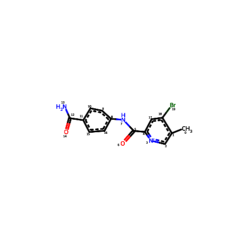 Cc1cnc(C(=O)Nc2ccc(C(N)=O)cc2)cc1Br